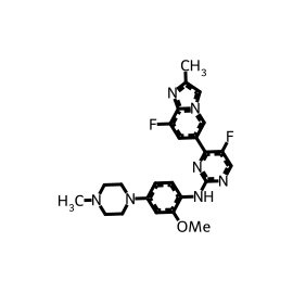 COc1cc(N2CCN(C)CC2)ccc1Nc1ncc(F)c(-c2cc(F)c3nc(C)cn3c2)n1